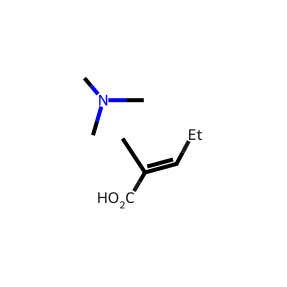 CCC=C(C)C(=O)O.CN(C)C